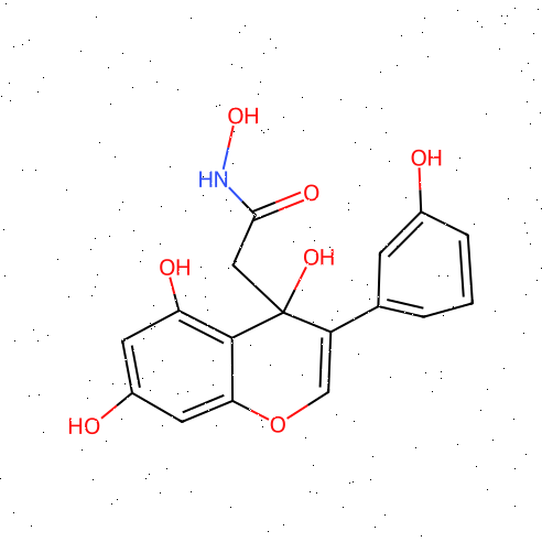 O=C(CC1(O)C(c2cccc(O)c2)=COc2cc(O)cc(O)c21)NO